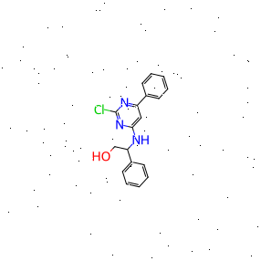 OCC(Nc1cc(-c2ccccc2)nc(Cl)n1)c1ccccc1